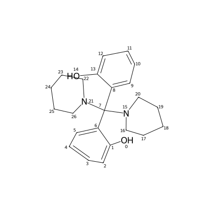 Oc1ccccc1C(c1ccccc1O)(N1CCCCC1)N1CCCCC1